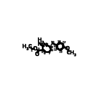 CCOC(=O)C1=CCC[C@@H](Cc2ccc(OC)cc2)N=C1N